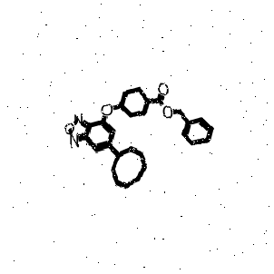 O=C(OCc1ccccc1)C1CCC(Oc2cc(C3CCCCCCC3)cc3nonc23)CC1